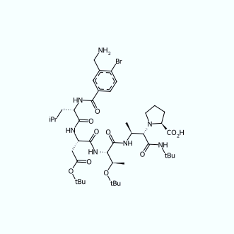 CC(C)C[C@H](NC(=O)c1ccc(Br)c(CN)c1)C(=O)N[C@@H](CC(=O)OC(C)(C)C)C(=O)N[C@H](C(=O)N[C@@H](C)[C@@H](C(=O)NC(C)(C)C)N1CCC[C@H]1C(=O)O)[C@@H](C)OC(C)(C)C